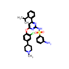 CC(C)c1ccccc1-c1cc(Oc2ccc(C3CCN(C)CC3)cc2Cl)nc(NS(=O)(=O)c2cccc(N)c2)n1